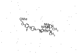 C/N=C(\NC1NC(N)=Nc2c1cnn2CCN1CCN(c2ccc(OCCOC)cc2F)CC1)c1nccnc1C